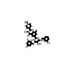 CCc1cccc(CNC[C@@H](O)[C@H](Cc2cc(F)cc(F)c2)NC(=O)c2cc(C)cc(C(=O)N(CC)C(=O)C3CCN(CC)CC3)c2)c1